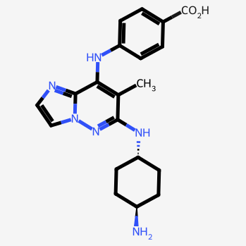 Cc1c(N[C@H]2CC[C@H](N)CC2)nn2ccnc2c1Nc1ccc(C(=O)O)cc1